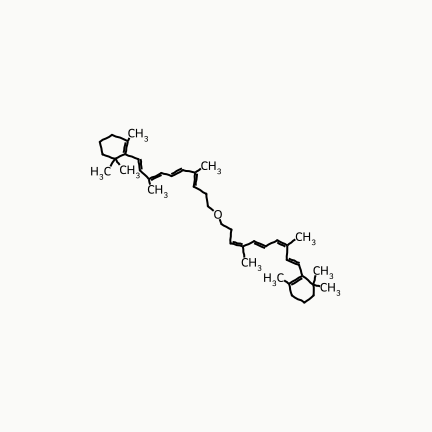 CC(C=CC1=C(C)CCCC1(C)C)=CC=CC(C)=CCCOCCC=C(C)C=CC=C(C)C=CC1=C(C)CCCC1(C)C